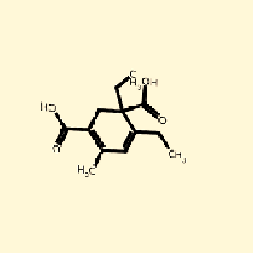 CCC1=CC(C)=C(C(=O)O)CC1(CC)C(=O)O